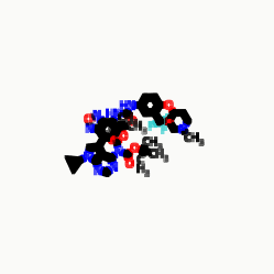 CN1CCC(Oc2ccc(NC(=O)Nc3ccc(-c4cn(C5CC5)c5ncnc(N(C(=O)OC(C)(C)C)C(=O)OC(C)(C)C)c45)c4nonc34)cc2C(F)(F)F)CC1